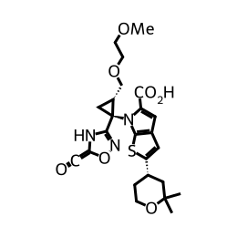 COCCOC[C@H]1C[C@]1(C1=NOC(=C=O)N1)n1c(C(=O)O)cc2cc([C@H]3CCOC(C)(C)C3)sc21